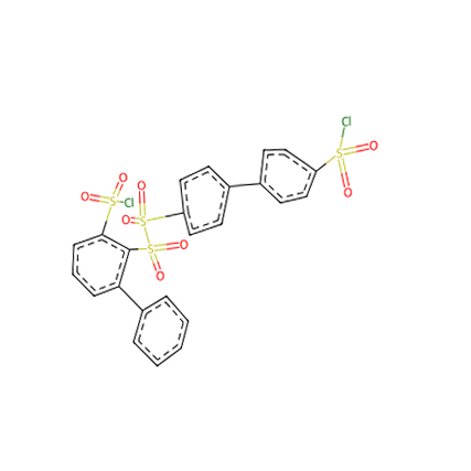 O=S(=O)(Cl)c1ccc(-c2ccc(S(=O)(=O)S(=O)(=O)c3c(-c4ccccc4)cccc3S(=O)(=O)Cl)cc2)cc1